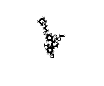 CCOC(=O)N1CCc2c([nH]c3ccc(Cl)cc23)C1c1ccc(OCCCN2CCCCC2)cc1